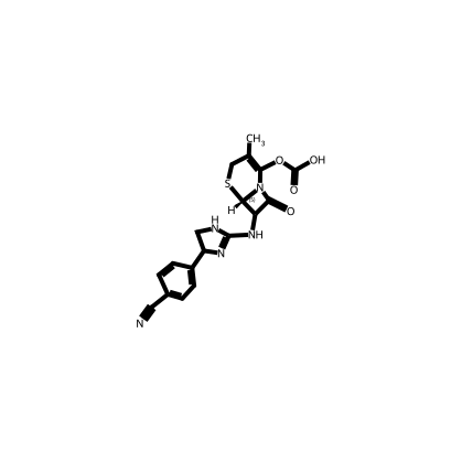 CC1=C(OC(=O)O)N2C(=O)C(NC3=NC(c4ccc(C#N)cc4)CN3)[C@@H]2SC1